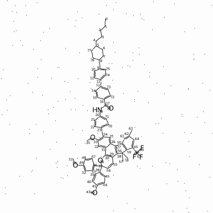 CCCCCC1CCC(c2ccc(-c3ccc(C(=O)Nc4ccc(-c5cc6c7c(c8c(c6cc5OC)OC(c5ccc(OC)cc5)(c5ccc(OC)cc5)C=C8)C(C)(C)c5c-7cc(C)cc5C(F)(F)F)cc4)cc3)cc2)CC1